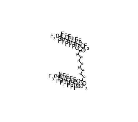 O=C(CCCCCCCCC(=O)OC(F)(C(F)(F)F)C(F)(F)C(F)(F)C(F)(F)C(F)(F)C(F)(F)C(F)(F)F)OC(F)(C(F)(F)F)C(F)(F)C(F)(F)C(F)(F)C(F)(F)C(F)(F)C(F)(F)F